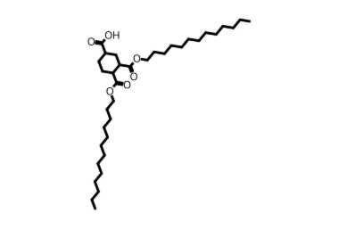 CCCCCCCCCCCCCOC(=O)C1CCC(C(=O)O)CC1C(=O)OCCCCCCCCCCCCC